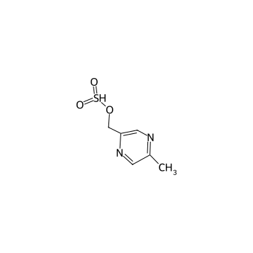 Cc1cnc(CO[SH](=O)=O)cn1